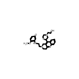 COc1ccc(Cl)cc1NCCN1CCc2nc3ccccc3c(C3CN(CCO)CC[N]3)c2C1